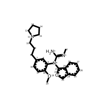 CN=C(N)N(c1cc(CCCN2CCCC2)ccc1OC)c1occ2ccccc12